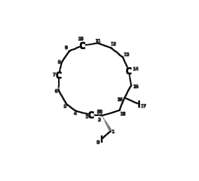 IC[C@@H]1CCCCCCCCCCCCCC(I)C1